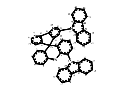 c1ccc2c(c1)Sc1c(-n3c4ccccc4c4ccccc43)cccc1C21c2cccnc2-c2ncc(-n3c4ccccc4c4ccccc43)cc21